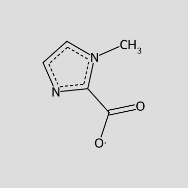 Cn1ccnc1C([O])=O